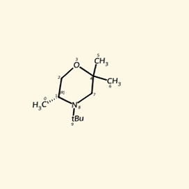 C[C@@H]1COC(C)(C)CN1C(C)(C)C